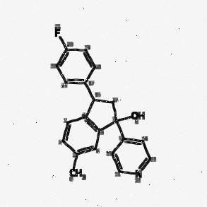 Cc1ccc2c(c1)C(O)(c1ccncc1)CC2c1ccc(F)cc1